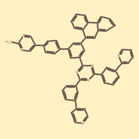 Cc1ncc(-c2ccc(-c3cc(-c4nc(-c5cccc(-c6ccncc6)c5)nc(-c5cccc(-c6ccccn6)c5)n4)cc(-c4cc5ccccc5c5ccccc45)c3)cc2)cn1